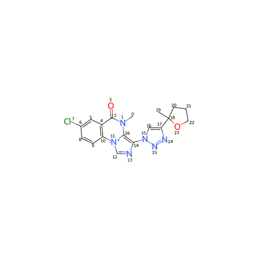 CN1C(=O)c2cc(Cl)ccc2[N+]2C=NC(n3cc(C4(C)CCCO4)nn3)=C12